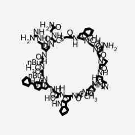 CCCCC1C(=O)N(C)C(CCCC)C(=O)NC(CCCNC(=N)N)C(=O)NC(C(=O)NCC(N)=O)CSCC(=O)NC(Cc2ccccc2)C(=O)N(C)C(C)C(=O)NC(CC(N)=O)C(=O)N2CCCC2C(=O)NC(Cc2cnc[nH]2)C(=O)NC(CC(C)C)C(=O)N(C)CC(=O)NC(Cc2c[nH]c3ccccc23)C(=O)NC(CO)C(=O)NC(Cc2ccc(-c3ccccc3)cc2)C(=O)N1C